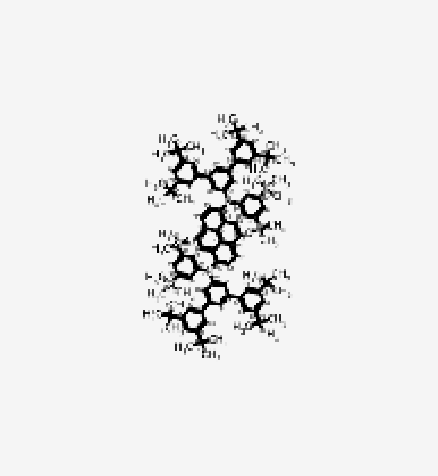 CC(C)(C)c1cc(-c2cc(-c3cc(C(C)(C)C)cc(C(C)(C)C)c3)cc(N(c3cc([Si](C)(C)C)cc([Si](C)(C)C)c3)c3ccc4ccc5c(N(c6cc(-c7cc(C(C)(C)C)cc(C(C)(C)C)c7)cc(-c7cc(C(C)(C)C)cc(C(C)(C)C)c7)c6)c6cc([Si](C)(C)C)cc([Si](C)(C)C)c6)ccc6ccc3c4c65)c2)cc(C(C)(C)C)c1